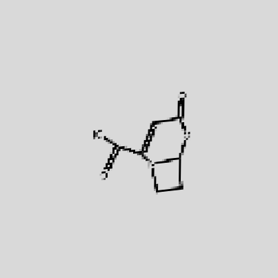 O=C1C=C(C(=O)O)N2CCC2O1